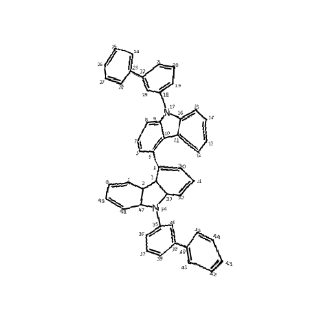 C1=CC2C3C(c4cccc5c4c4ccccc4n5-c4cccc(-c5ccccc5)c4)=CC=CC3N(c3cccc(-c4ccccc4)c3)C2C=C1